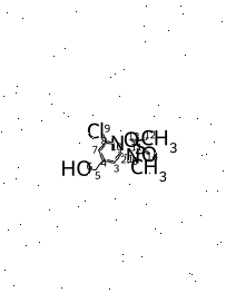 CN(c1cc(CO)cc(Cl)n1)S(C)(=O)=O